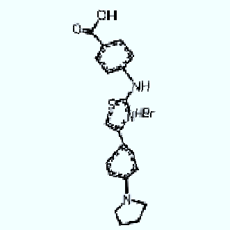 Br.O=C(O)c1ccc(Nc2nc(-c3ccc(N4CCCC4)cc3)cs2)cc1